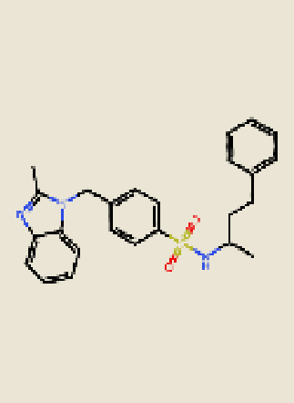 Cc1nc2ccccc2n1Cc1ccc(S(=O)(=O)NC(C)CCc2ccccc2)cc1